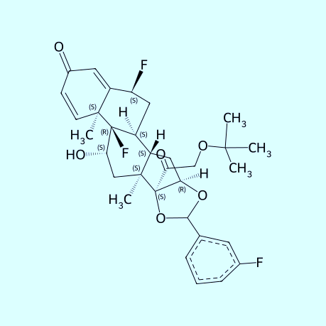 CC(C)(C)OCC(=O)[C@@]12OC(c3cccc(F)c3)O[C@@H]1C[C@H]1[C@@H]3C[C@H](F)C4=CC(=O)C=C[C@]4(C)[C@@]3(F)[C@@H](O)C[C@@]12C